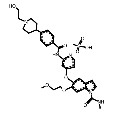 CNC(=O)n1ccc2cc(Oc3ccnc(NC(=O)c4ccc(C5CCN(CCO)CC5)cc4)c3)c(OCCOC)cc21.CS(=O)(=O)O